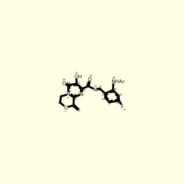 C=C1OCCn2c1nc(C(=O)NCc1ccc(F)cc1NC(C)=O)c(O)c2=O